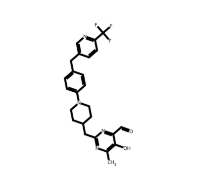 Cc1nc(CC2CCN(c3ccc(Cc4ccc(C(F)(F)F)nc4)cc3)CC2)nc([C]=O)c1O